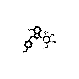 CCc1ccc(Cc2cn([C@@H]3O[C@H](CO)[C@@H](O)[C@H](O)[C@H]3O)c3cccc(Cl)c23)cc1